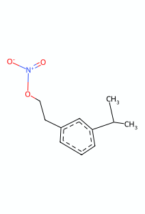 CC(C)c1cccc(CCO[N+](=O)[O-])c1